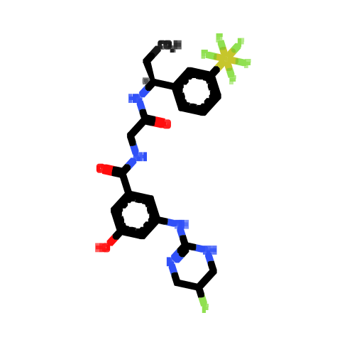 O=C(O)C[C@H](NC(=O)CNC(=O)c1cc(O)cc(NC2=NCC(F)CN2)c1)c1cccc(S(F)(F)(F)(F)F)c1